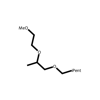 CCCC(C)COCC(C)OCCOC